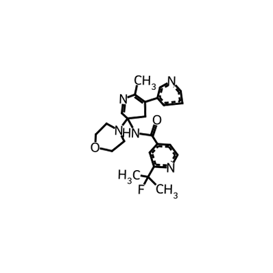 CC1=C(c2cccnc2)CC(NC(=O)c2ccnc(C(C)(C)F)c2)(N2CCOCC2)C=N1